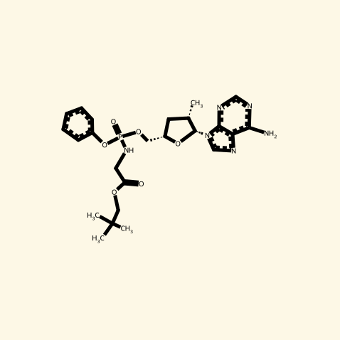 C[C@H]1C[C@@H](COP(=O)(NCC(=O)OCC(C)(C)C)Oc2ccccc2)O[C@H]1n1cnc2c(N)ncnc21